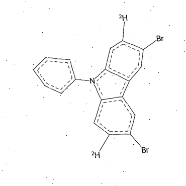 [2H]c1cc2c(cc1Br)c1cc(Br)c([2H])cc1n2-c1ccccc1